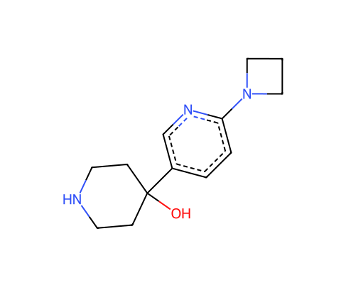 OC1(c2ccc(N3CCC3)nc2)CCNCC1